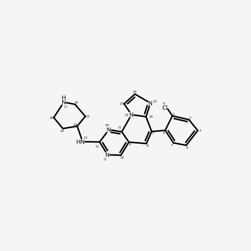 Clc1ccccc1-c1cc2cnc(NC3CCNCC3)nc2n2ccnc12